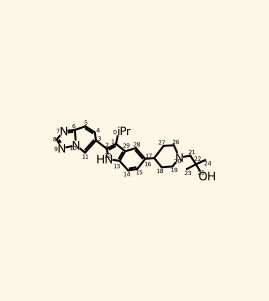 CC(C)c1c(-c2ccc3ncnn3c2)[nH]c2ccc(C3CCN(CC(C)(C)O)CC3)cc12